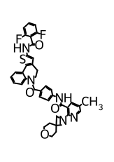 Cc1cnc(N2CC3(CCOCC3)C2)c(C(=O)Nc2ccc(C(=O)N3CCc4cc(NC(=O)c5c(F)cccc5F)sc4-c4ccccc43)cc2)c1